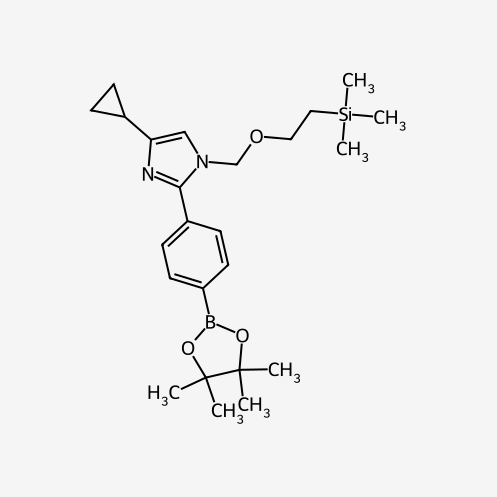 CC1(C)OB(c2ccc(-c3nc(C4CC4)cn3COCC[Si](C)(C)C)cc2)OC1(C)C